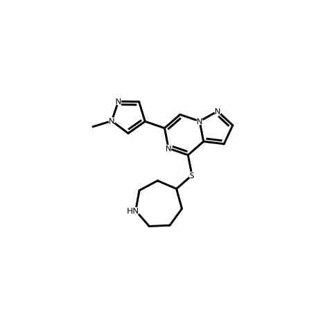 Cn1cc(-c2cn3nccc3c(SC3CCCNCC3)n2)cn1